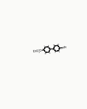 CCCc1ccc(-c2ccc(C(=O)OCC)cc2)cc1